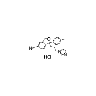 Cc1ccc(C2(CCCn3ccnc3)OCc3cc(C#N)ccc32)cc1.Cl